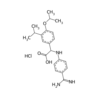 CC(C)Oc1ccc(C(Nc2ccc(C(=N)N)cc2)C(=O)O)cc1C(C)C.Cl